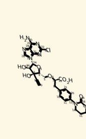 C#C[C@@]1(O)[C@@H](CO[C@H](Cc2ccc(N3CCCNC3=O)cc2)C(=O)O)O[C@@H](n2cnc3c(N)nc(Cl)nc32)[C@@H]1O